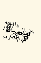 Cc1ccc(-c2ccc(C(F)(F)F)cc2)c(C(=O)Nc2ccc(N(CCc3csc(NC(=O)OC(C)(C)C)n3)C(=O)OC(C)(C)C)cc2)c1